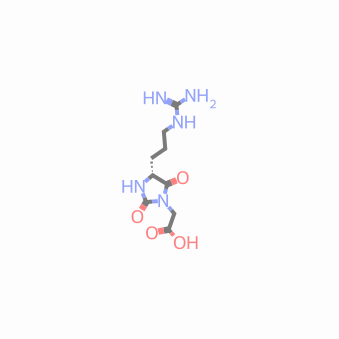 N=C(N)NCCC[C@H]1NC(=O)N(CC(=O)O)C1=O